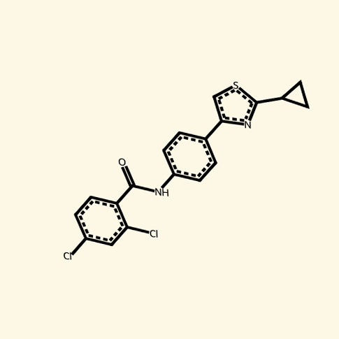 O=C(Nc1ccc(-c2csc(C3CC3)n2)cc1)c1ccc(Cl)cc1Cl